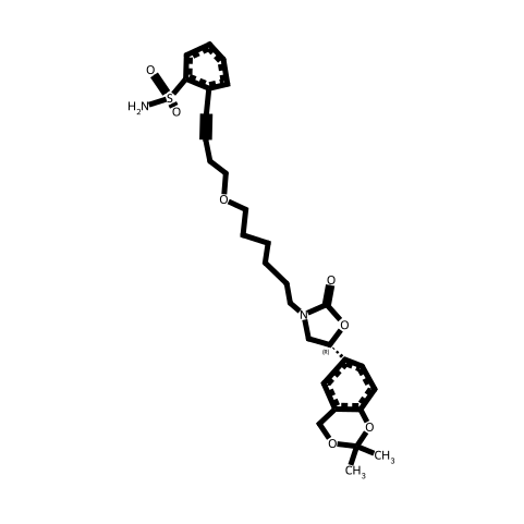 CC1(C)OCc2cc([C@@H]3CN(CCCCCCOCCC#Cc4ccccc4S(N)(=O)=O)C(=O)O3)ccc2O1